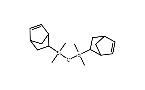 C[Si](C)(O[Si](C)(C)C1CC2C=CC1C2)C1CC2C=CC1C2